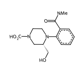 CNC(=O)c1ccccc1N1CCN(C(=O)O)C[C@H]1CO